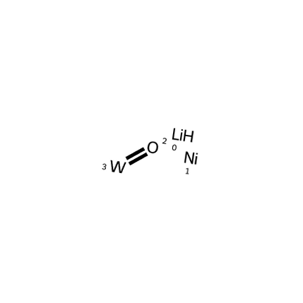 [LiH].[Ni].[O]=[W]